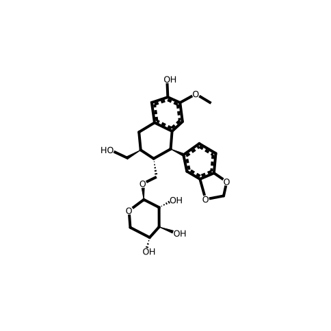 COc1cc2c(cc1O)C[C@H](CO)[C@@H](CO[C@@H]1OC[C@@H](O)[C@H](O)[C@H]1O)[C@@H]2c1ccc2c(c1)OCO2